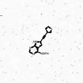 CNc1ncnc2[nH]c(C#Cc3ccsc3)cc12